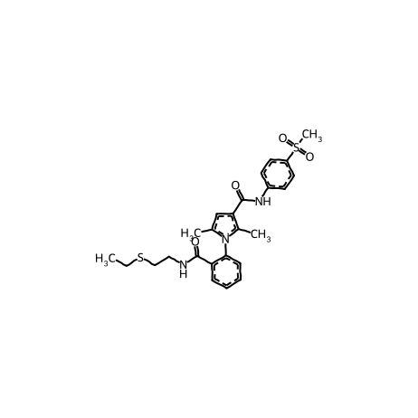 CCSCCNC(=O)c1ccccc1-n1c(C)cc(C(=O)Nc2ccc(S(C)(=O)=O)cc2)c1C